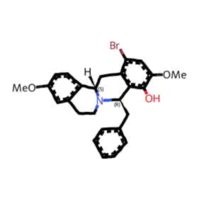 COc1ccc2c(c1)CCN1[C@H](Cc3ccccc3)c3c(O)c(OC)cc(Br)c3C[C@@H]21